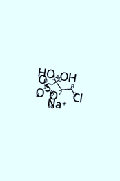 O=S(=O)([O-])C(O)(O)CCCl.[Na+]